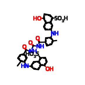 Cc1ccc(C(=O)NC(=O)NC(=O)c2ccc(C)c(Nc3ccc4c(O)ccc(S(=O)(=O)O)c4c3)c2)cc1Nc1ccc2c(O)ccc(S(=O)(=O)O)c2c1